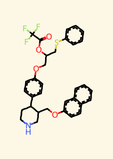 O=C(OC(COc1ccc(C2CCNCC2COc2ccc3ccccc3c2)cc1)CSc1ccccc1)C(F)(F)F